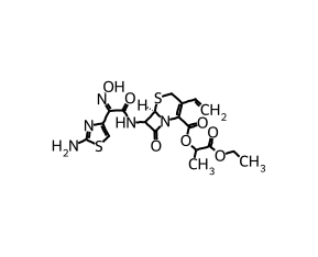 C=CC1=C(C(=O)OC(C)C(=O)OCC)N2C(=O)C(NC(=O)/C(=N\O)c3csc(N)n3)[C@H]2SC1